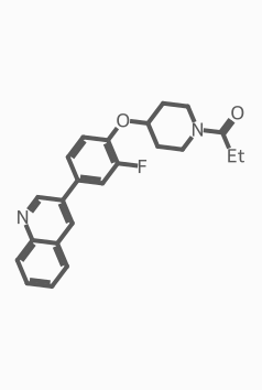 CCC(=O)N1CCC(Oc2ccc(-c3cnc4ccccc4c3)cc2F)CC1